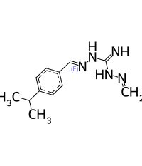 C=NNC(=N)N/N=C/c1ccc(C(C)C)cc1